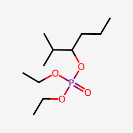 CCCC(OP(=O)(OCC)OCC)C(C)C